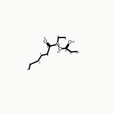 CCCCCC(=O)N(CC)OC(=O)CC